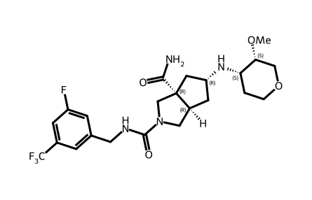 CO[C@@H]1COCC[C@@H]1N[C@@H]1C[C@H]2CN(C(=O)NCc3cc(F)cc(C(F)(F)F)c3)C[C@@]2(C(N)=O)C1